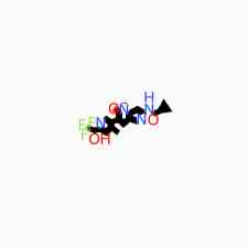 Cc1cc([C@H](O)C(F)(F)F)ncc1-c1cc2cnc(NC(=O)C3CC3)cc2n(C)c1=O